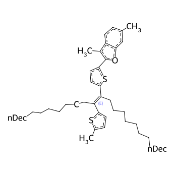 CCCCCCCCCCCCCCCCC/C(=C(/CCCCCCCCCCCCCCCCC)c1ccc(-c2oc3cc(C)ccc3c2C)s1)c1ccc(C)s1